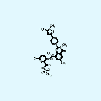 Cc1cc([C@@H](C)Nc2ccc(Cl)nc2C(=O)NS(C)(=O)=O)c2nc(N3CCC(c4cc(C)n(C)n4)CC3)n(C)c(=O)c2c1